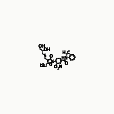 Cc1ccccc1NC(=O)c1ccc(-n2oc(C(C)(C)C)c(CSCC(O)CO)c2=O)c([N+](=O)[O-])c1